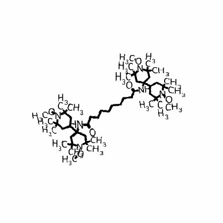 CON1C(C)(C)CC(C2(NC(=O)CCCCCCCCC(=O)NC3(C4CC(C)(C)N(OC)C(C)(C)C4)CC(C)(C)N(OC)C(C)(C)C3)CC(C)(C)N(OC)C(C)(C)C2)CC1(C)C